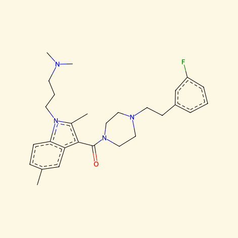 Cc1ccc2c(c1)c(C(=O)N1CCN(CCc3cccc(F)c3)CC1)c(C)n2CCCN(C)C